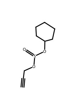 C#CCOS(=O)OC1CCCCC1